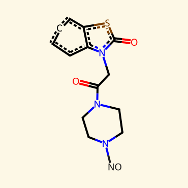 O=NN1CCN(C(=O)Cn2c(=O)sc3ccccc32)CC1